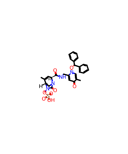 CC1=C[C@@H](C(=O)NCc2cc(=O)c(C)cn2OC(c2ccccc2)c2ccccc2)N2C[C@@H]1N(OS(=O)(=O)O)C2=O